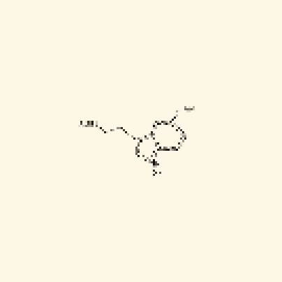 COc1ccc2[nH]cc(CCNC(C)=O)c2c1.[Zn]